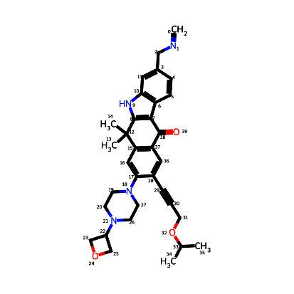 C=NCc1ccc2c3c([nH]c2c1)C(C)(C)c1cc(N2CCN(C4COC4)CC2)c(C#CCOC(C)C)cc1C3=O